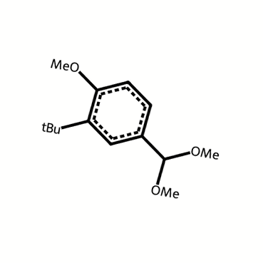 COc1ccc(C(OC)OC)cc1C(C)(C)C